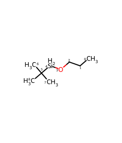 CCCO[SiH2]C(C)(C)C